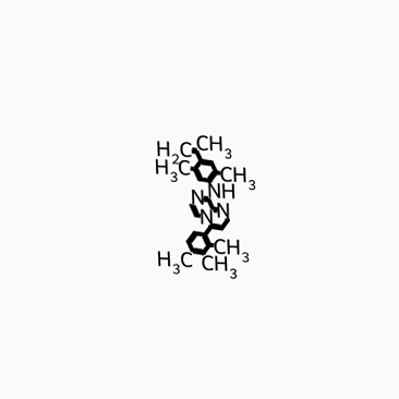 C=C(C)c1cc(C)c(NC2=NC=CN3C(c4ccc(C)c(C)c4C)=CCN=C23)cc1C